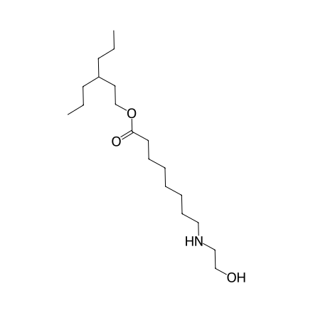 CCCC(CCC)CCOC(=O)CCCCCCCNCCO